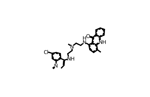 C=Nc1cc(Cl)ccc1/C(=C\C)NCCN(C)CCNc1ccc(C)c2[nH]c3ccccc3c(=O)c12